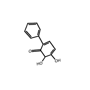 O=C1C(c2ccccc2)=CC=C(O)C1O